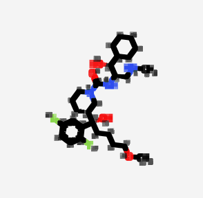 CNC[C@@H](NC(=O)N1CCC[C@@H]([C@@](O)(CCCCOC)c2cc(F)ccc2F)C1)[C@H](O)C1CCCCC1